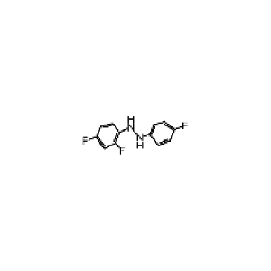 Fc1ccc(NNc2ccc(F)cc2F)cc1